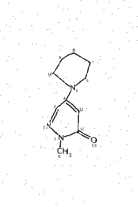 Cn1ncc(N2CCCCC2)cc1=O